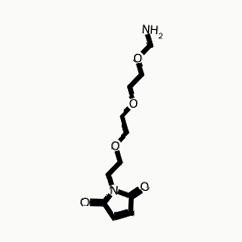 NCOCCOCCOCCN1C(=O)C=CC1=O